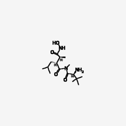 CC(C)C[C@@H](C(=O)N(C)C(=O)[C@@H](N)C(C)(C)C)[C@H](C)C(=O)NO